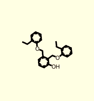 CCc1ccccc1OCc1cccc(O)c1COc1ccccc1CC